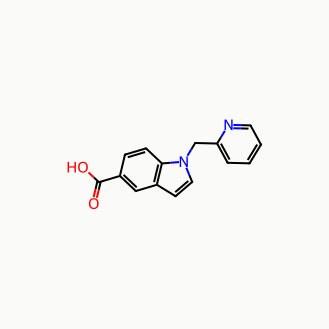 O=C(O)c1ccc2c(ccn2Cc2ccccn2)c1